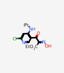 CCOC(=O)/C(=N\O)C(=O)c1cnc(Cl)cc1NC(C)C